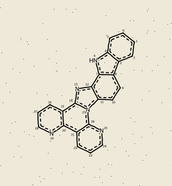 c1ccc2c(c1)[nH]c1c2ccc2c1nc1c3cccnc3c3cccnc3n21